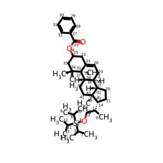 CC(CO[Si](C(C)C)(C(C)C)C(C)C)[C@H]1CC[C@H]2[C@@H]3CC=C4CC(OC(=O)c5ccccc5)CC(C)(C)[C@]4(C)[C@H]3CC[C@]12C